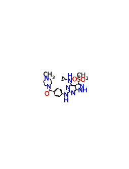 CN1CCN(C(=O)c2ccc(Nc3nc(NC4CC4)c4c(S(C)(=O)=O)n[nH]c4n3)cc2)CC1